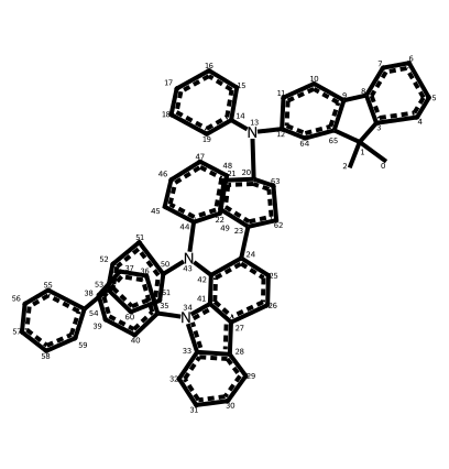 CC1(C)c2ccccc2-c2ccc(N(c3ccccc3)c3ccc(-c4ccc5c6ccccc6n(-c6ccccc6)c5c4N(c4ccccc4)c4ccc(-c5ccccc5)cc4)cc3)cc21